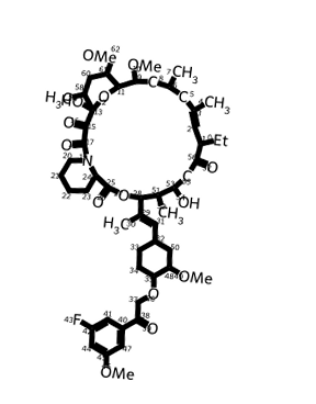 CCC1/C=C(\C)CC(C)CC(OC)C2OC(O)(C(=O)C(=O)N3CCCCC3C(=O)OC(C(C)=CC3CCC(OCC(=O)c4cc(F)cc(OC)c4)C(OC)C3)C(C)C(O)CC1=O)C(C)CC2OC